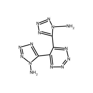 Nn1nnnc1-c1nnnnc1-c1nnnn1N